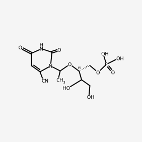 CC(O[C@H](COP(=O)(O)O)C(O)CO)n1c(C#N)cc(=O)[nH]c1=O